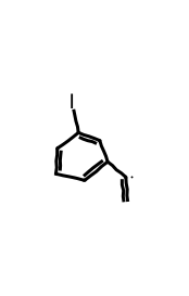 C=[C]c1cccc(I)c1